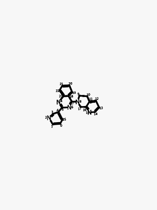 c1cncc(-c2nc(N3CCc4cccnc4C3)c3ccccc3n2)c1